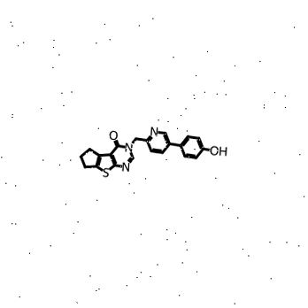 O=c1c2c3c(sc2ncn1Cc1ccc(-c2ccc(O)cc2)cn1)CCC3